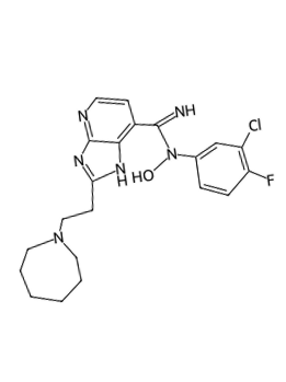 N=C(c1ccnc2nc(CCN3CCCCCC3)[nH]c12)N(O)c1ccc(F)c(Cl)c1